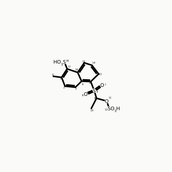 Cc1ccc2c(S(=O)(=O)C(C)OS(=O)(=O)O)cccc2c1S(=O)(=O)O